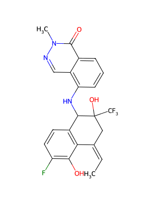 C/C=C1/CC(O)(C(F)(F)F)C(Nc2cccc3c(=O)n(C)ncc23)c2ccc(F)c(O)c21